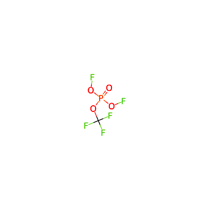 O=P(OF)(OF)OC(F)(F)F